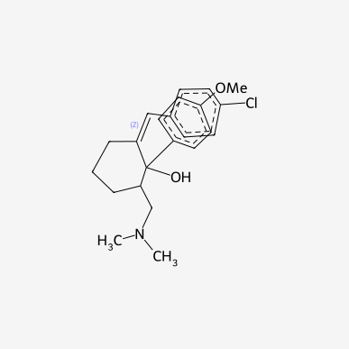 COc1ccc(C2(O)/C(=C\c3ccc(Cl)cc3)CCCC2CN(C)C)cc1